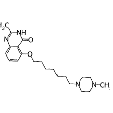 Cc1nc2cccc(OCCCCCCCN3CCN(C)CC3)c2c(=O)[nH]1